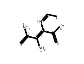 C=C(N)/C(N)=C(\N=C/C)C(=C)C(C)C